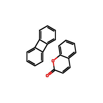 O=c1ccc2ccccc2o1.c1ccc2c(c1)-c1ccccc1-2